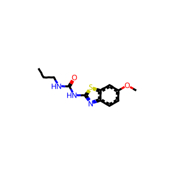 CCCNC(=O)Nc1nc2ccc(OC)cc2s1